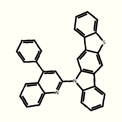 c1ccc(-c2cc(-n3c4ccccc4c4cc5sc6ccccc6c5cc43)nc3ccccc23)cc1